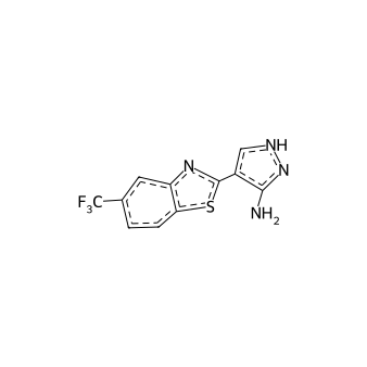 Nc1n[nH]cc1-c1nc2cc(C(F)(F)F)ccc2s1